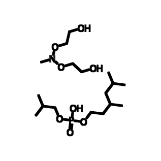 CC(C)COP(=O)(O)OCCC(C)CC(C)C.CN(OCCO)OCCO